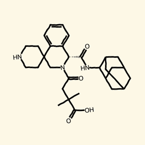 CC(C)(CC(=O)N1CC2(CCNCC2)c2ccccc2[C@@H]1C(=O)NC1C2CC3CC(C2)CC1C3)C(=O)O